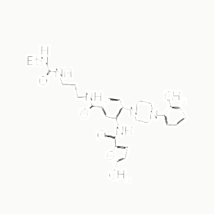 CCNC(=O)NCCCNC(=O)c1ccc(N2CCN(c3ccccc3C)CC2)c(NC(=O)c2ccc(C)o2)c1